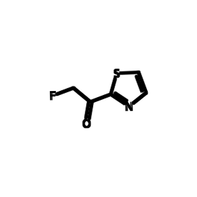 O=C(CF)c1nccs1